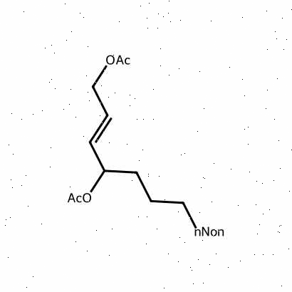 CCCCCCCCCCCCC(/C=C/COC(C)=O)OC(C)=O